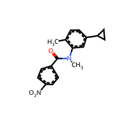 Cc1ccc(C2CC2)cc1N(C)C(=O)c1ccc([N+](=O)[O-])cc1